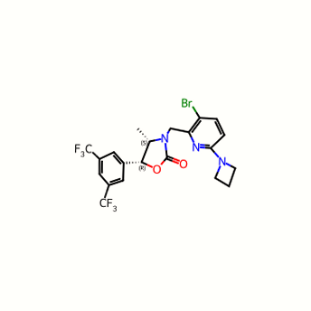 C[C@H]1[C@@H](c2cc(C(F)(F)F)cc(C(F)(F)F)c2)OC(=O)N1Cc1nc(N2CCC2)ccc1Br